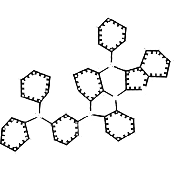 c1ccc(N(c2ccccc2)c2cccc(N3c4ccccc4B4c5oc6ccccc6c5N(c5ccccc5)c5cccc3c54)c2)cc1